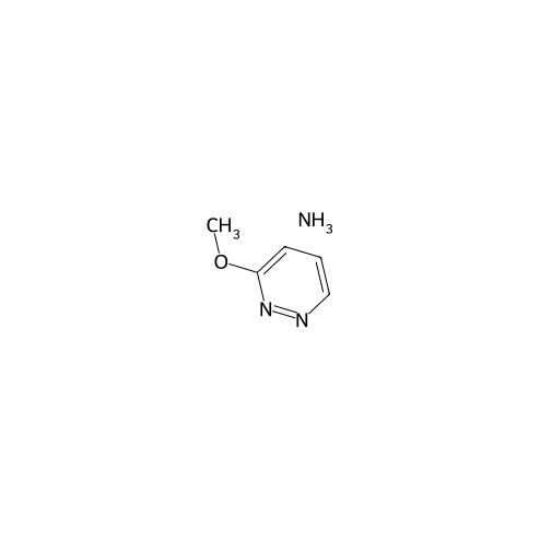 COc1cccnn1.N